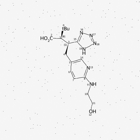 CC(C)(C)[C@H](C(=O)O)[C@H](Cc1ccc(NCCO)nc1)c1nnn[nH]1